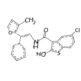 Cc1ccoc1/C(=C/NC(=O)c1c(O)sc2ccc(Cl)cc12)c1ccccc1